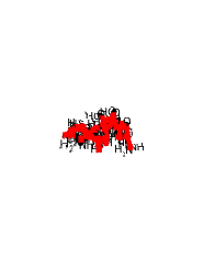 CC[C@H](C)[C@H](NC(=O)[C@H](CC(C)C)NC(=O)[C@H](CS)NC(=O)[C@H](CCCCN)NC(=O)[C@H](CCC(=O)O)NC(=O)[C@H](CCC(=O)O)NC(=O)[C@H](Cc1ccc(O)cc1)NC(=O)[C@H](C)NC(=O)[C@H](C)NC(=O)[C@@H](N)CCCNC(=N)N)C(=O)N[C@@H](C)C(=O)N[C@@H](CCCNC(=N)N)C(=O)N[C@@H](CS)C(=O)N[C@@H](C)C(=O)N[C@H](C(=O)O)C(C)C